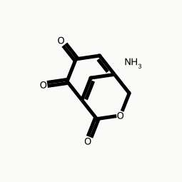 N.O=C1C=C2C=C(C(=O)OC2)C1=O